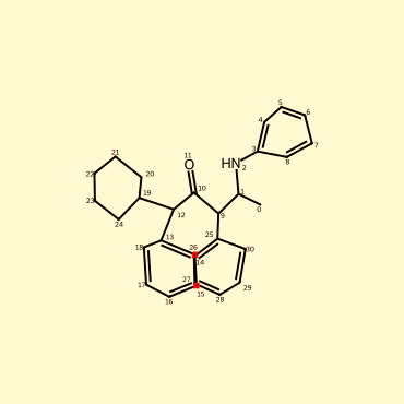 CC(Nc1ccccc1)C(C(=O)C(c1ccccc1)C1CCCCC1)c1ccccc1